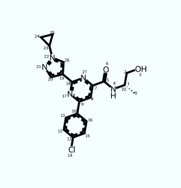 C[C@@H](CO)NC(=O)c1cc(-c2ccc(Cl)cc2)nc(-c2cnn(C3CC3)c2)n1